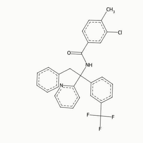 Cc1ccc(C(=O)NC(Cc2ccccc2)(c2cccc(C(F)(F)F)c2)c2ccccn2)cc1Cl